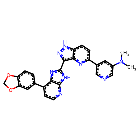 CN(C)c1cncc(-c2ccc3[nH]nc(-c4nc5c(-c6ccc7c(c6)OCO7)ccnc5[nH]4)c3n2)c1